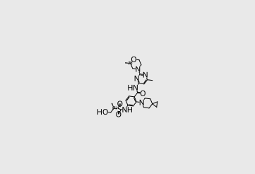 Cc1cc(NC(=O)c2ccc(NS(=O)(=O)[C@H](C)CO)cc2N2CCC3(CC2)CC3)nc(N2CCO[C@H](C)C2)n1